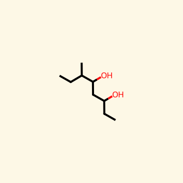 CCC(O)CC(O)C(C)CC